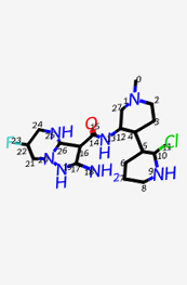 CN1CCC(C2CCCNC2Cl)C(NC(=O)C2C(N)NN3CC(F)CNC23)C1